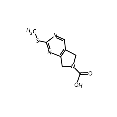 CSc1ncc2c(n1)CN(C(=O)O)C2